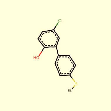 CCSc1ccc(-c2cc(Cl)ccc2O)cc1